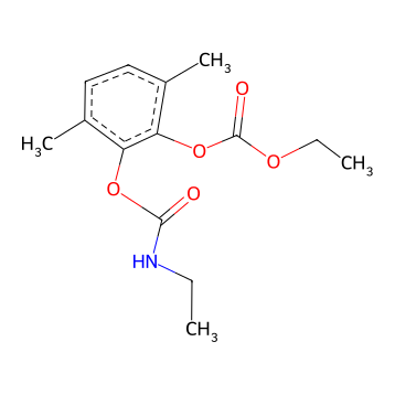 CCNC(=O)Oc1c(C)ccc(C)c1OC(=O)OCC